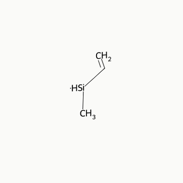 C=C[SiH]C